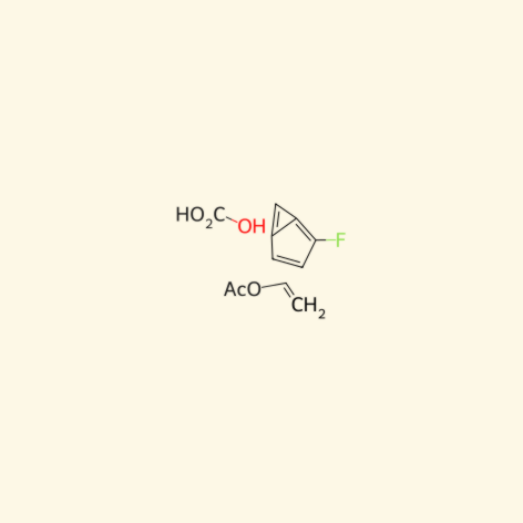 C=COC(C)=O.Fc1ccc2cc1-2.O=C(O)O